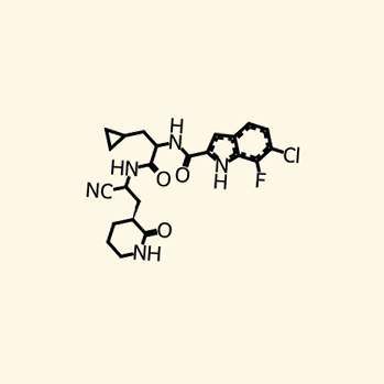 N#CC(C[C@@H]1CCCNC1=O)NC(=O)C(CC1CC1)NC(=O)c1cc2ccc(Cl)c(F)c2[nH]1